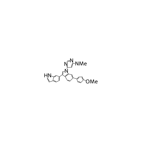 CNc1cc(-n2cc(-c3ccc4cc[nH]c4c3)c3ccc(-c4ccc(OC)cc4)cc32)ncn1